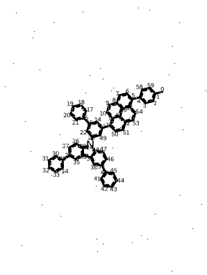 Cc1ccc(-c2ccc3ccc4c(-c5cc(-c6ccccc6)cc(-n6c7ccc(-c8ccccc8)cc7c7cc(-c8ccccc8)ccc76)c5)ccc5ccc2c3c54)cc1